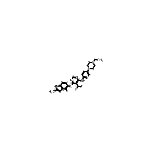 CCN1CCN(c2ccc(Nc3ncnc(Oc4ccc5[nH]c(C)cc5c4F)c3C(F)F)nc2)CC1